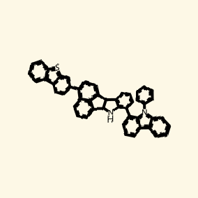 c1ccc(-n2c3ccccc3c3cccc(-c4cccc5c4NC4c6cccc7c(-c8ccc9c(c8)sc8ccccc89)ccc(c67)C54)c32)cc1